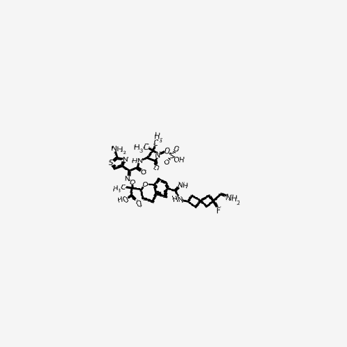 CC(ON=C(C(=O)NC1C(=O)N(OS(=O)(=O)O)C1(C)C)c1csc(N)n1)(C(=O)O)C1CCc2cc(C(=N)NC3CC4(C3)CC(F)(CN)C4)ccc2O1